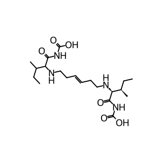 CCC(C)C(NCCC=CCCN[C@H](C(=O)NC(=O)O)[C@H](C)CC)C(=O)NC(=O)O